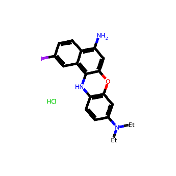 CCN(CC)c1ccc2c(c1)Oc1cc(N)c3ccc(I)cc3c1N2.Cl